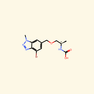 C[C@H](COCc1cc(Br)c2nnn(C)c2c1)NC(=O)O